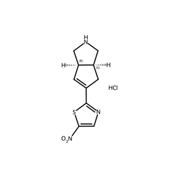 Cl.O=[N+]([O-])c1cnc(C2=C[C@H]3CNC[C@H]3C2)s1